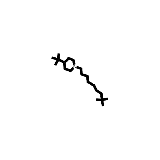 CC(C)(C)CCCCCCCN1CCC(C(C)(C)C)CC1